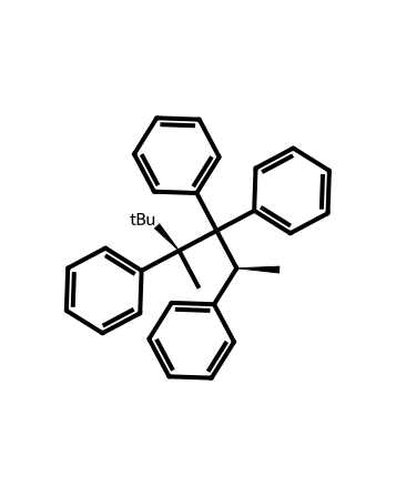 C[C@@H](c1ccccc1)C(c1ccccc1)(c1ccccc1)[C@](C)(c1ccccc1)C(C)(C)C